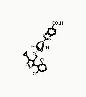 O=C(O)c1ccc2nc(N3C[C@H]4C[C@@H]3C[C@@H]4OCc3c(-c4c(Cl)cccc4Cl)noc3C3CC3)sc2c1